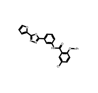 CCCOc1ccc(Cl)cc1C(=O)Nc1cccc(-c2nnc(-c3ccco3)o2)c1